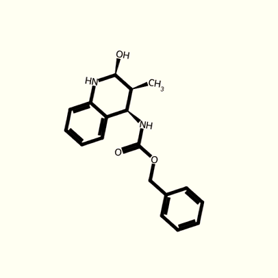 C[C@@H]1[C@H](O)Nc2ccccc2[C@@H]1NC(=O)OCc1ccccc1